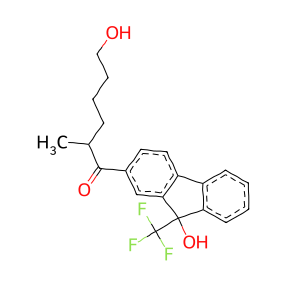 CC(CCCCO)C(=O)c1ccc2c(c1)C(O)(C(F)(F)F)c1ccccc1-2